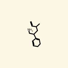 C=CC(C)CC(CN)C1=CCCC=C1